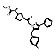 COC(=O)N(C)C1CCN(C(=O)Cn2nc(-c3ccncc3)cc2Cc2ccc(F)cc2)C1